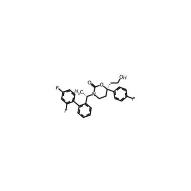 C[C@@H](c1ccccc1-c1ccc(F)cc1F)N1CC[C@](CCO)(c2ccc(F)cc2)OC1=O